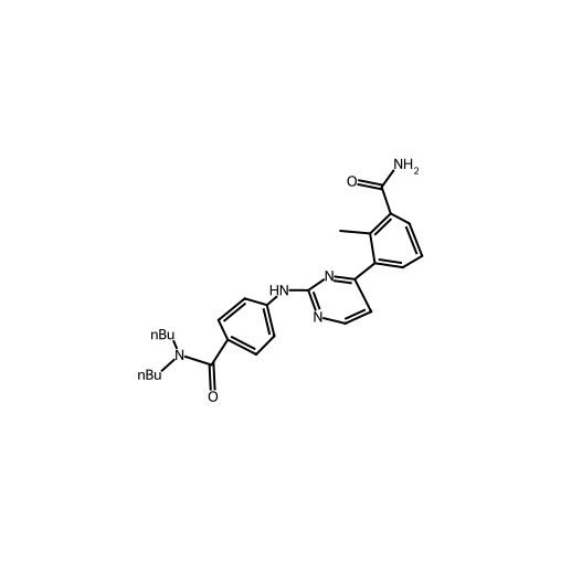 CCCCN(CCCC)C(=O)c1ccc(Nc2nccc(-c3cccc(C(N)=O)c3C)n2)cc1